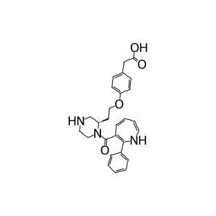 O=C(O)Cc1ccc(OCC[C@@H]2CNCCN2C(=O)C2=C(c3ccccc3)NC=CC=C2)cc1